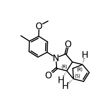 COc1cc(N2C(=O)C3[C@H]4C=C[C@H](C4)[C@H]3C2=O)ccc1C